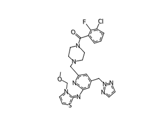 COCn1ccsc1=Nc1cc(Cn2nccn2)cc(CN2CCN(C(=O)c3cccc(Cl)c3F)CC2)n1